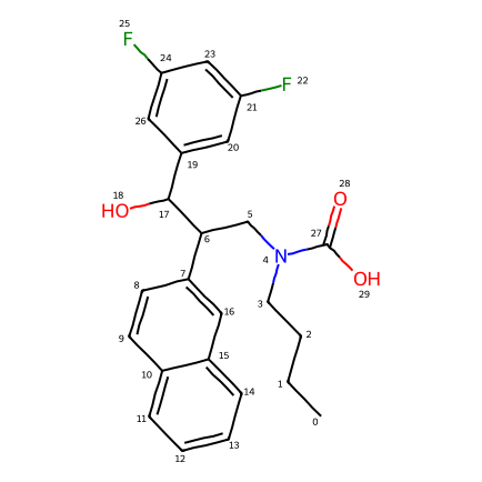 CCCCN(CC(c1ccc2ccccc2c1)C(O)c1cc(F)cc(F)c1)C(=O)O